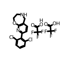 Clc1cccc(Cl)c1-c1ccc2c(n1)OCCNC2.O=C(O)C(F)(F)F.O=C(O)C(F)(F)F